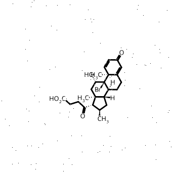 C[C@@H]1C[C@H]2[C@@H]3CCC4=CC(=O)C=C[C@]4(C)[C@@]3(Br)[C@@H](O)C[C@]2(C)[C@H]1C(=O)CCC(=O)O